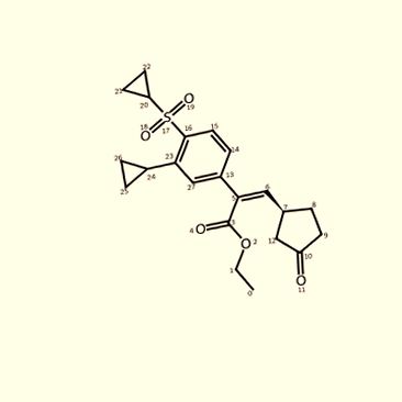 CCOC(=O)/C(=C\[C@H]1CCC(=O)C1)c1ccc(S(=O)(=O)C2CC2)c(C2CC2)c1